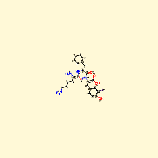 NCCCC[C@@H](N)C(=O)N[C@H](Cc1ccccc1)C(=O)N[C@H](Cc1ccc(O)c(I)c1)C(=O)O